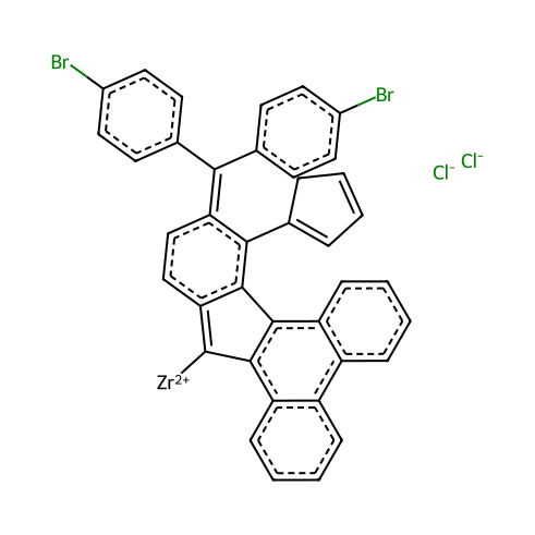 Brc1ccc(C(c2ccc(Br)cc2)=c2ccc3c(c2C2=CC=CC2)-c2c(c4ccccc4c4ccccc24)[C]=3[Zr+2])cc1.[Cl-].[Cl-]